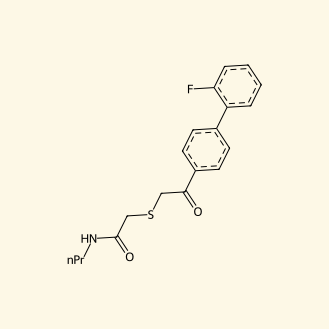 CCCNC(=O)CSCC(=O)c1ccc(-c2ccccc2F)cc1